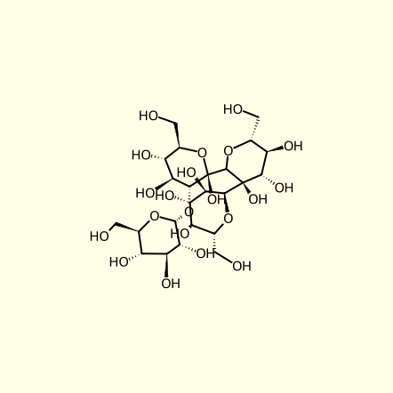 OC[C@H]1OC([C@@]2(O)O[C@H](CO)[C@@H](O)[C@H](O)[C@H]2O[C@H]2O[C@H](CO)[C@@H](O)[C@H](O)[C@H]2O)[C@@](O)([C@H]2O[C@H](CO)[C@@H](O)[C@H](O)[C@H]2O)[C@@H](O)[C@@H]1O